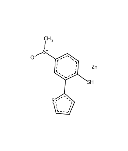 C[S+]([O-])c1ccc(S)c(-c2cccs2)c1.[Zn]